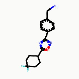 NCc1ccc(-c2noc(C3CCC(F)(F)CC3)n2)cc1